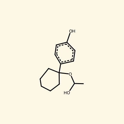 CC(O)OC1(c2ccc(O)cc2)CCCCC1